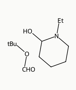 CC(C)(C)OC=O.CCN1CCCCC1O